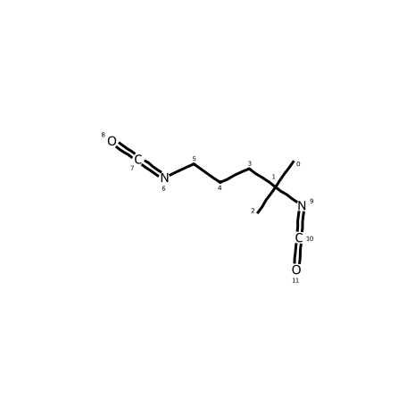 CC(C)(CCCN=C=O)N=C=O